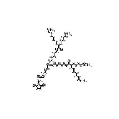 CCCCCCCCC(CCCCCC)C(=O)OCCCCCCN(CCCCCCOC(=O)C(CCCCCC)CCCCCCCC)CCOCCOC(=O)CCN1C(=O)C=CC1=O